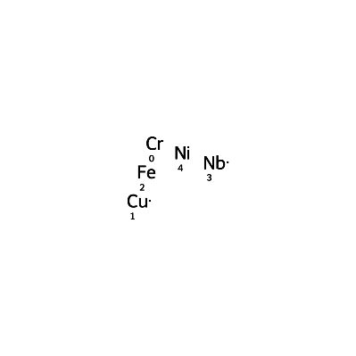 [Cr].[Cu].[Fe].[Nb].[Ni]